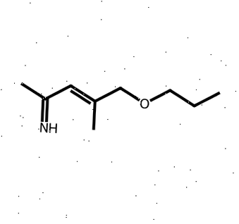 CCCOC/C(C)=C/C(C)=N